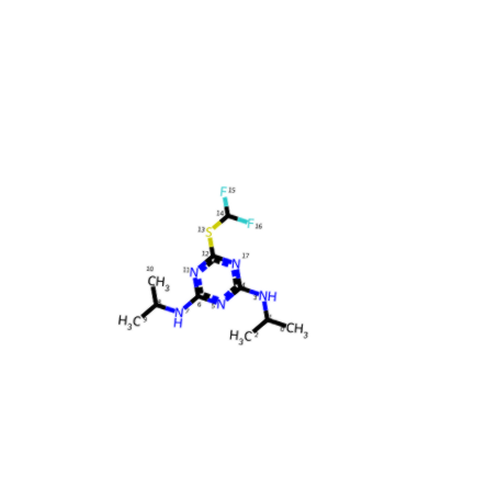 CC(C)Nc1nc(NC(C)C)nc(SC(F)F)n1